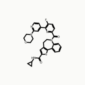 O=C(NC1CC1)c1cc2c(s1)-c1ccccc1N(C(=O)c1ccc(F)c(-c3ccnc(N4CCOCC4)c3)n1)CC2